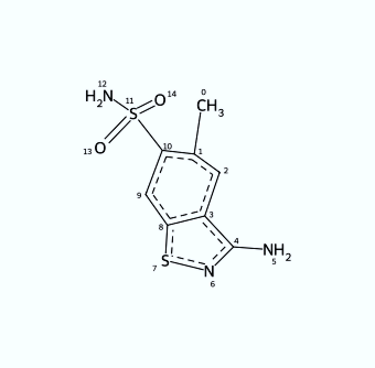 Cc1cc2c(N)nsc2cc1S(N)(=O)=O